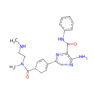 CNCCN(C)C(=O)C1C=CC(c2cnc(N)c(C(=O)Nc3ccccc3)n2)=CC1